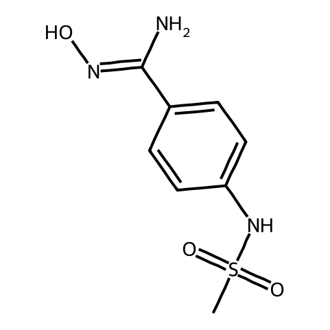 CS(=O)(=O)Nc1ccc(C(N)=NO)cc1